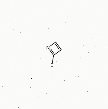 ClC1=NC=C1